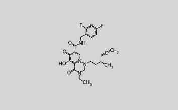 C=C=C[C@@H](C)CCN1CN(CC)C(=O)c2c(O)c(=O)c(C(=O)NCc3ccc(F)nc3F)cn21